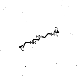 C1CO1.NCCNCCNCC1CO1